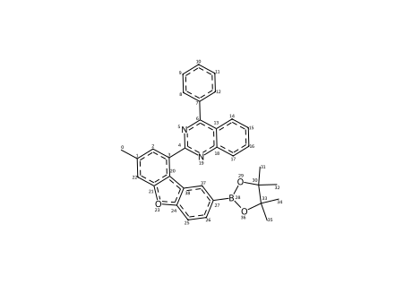 Cc1cc(-c2nc(-c3ccccc3)c3ccccc3n2)c2c(c1)oc1ccc(B3OC(C)(C)C(C)(C)O3)cc12